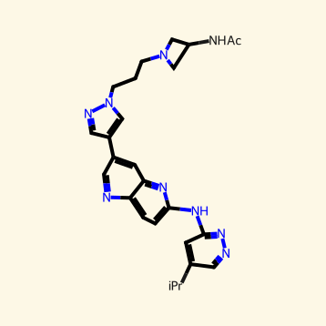 CC(=O)NC1CN(CCCn2cc(-c3cnc4ccc(Nc5cc(C(C)C)cnn5)nc4c3)cn2)C1